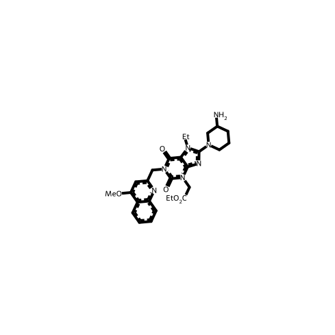 CCOC(=O)Cn1c(=O)n(Cc2cc(OC)c3ccccc3n2)c(=O)c2c1nc(N1CCCC(N)C1)n2CC